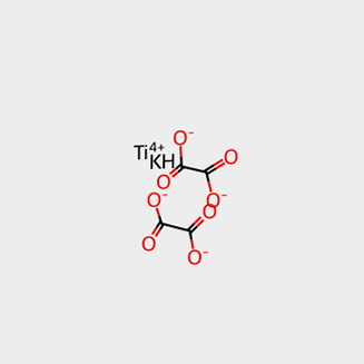 O=C([O-])C(=O)[O-].O=C([O-])C(=O)[O-].[KH].[Ti+4]